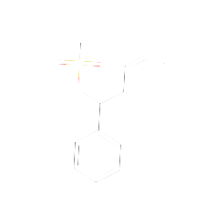 C=CCC(OS(C)(=O)=O)c1ccccc1